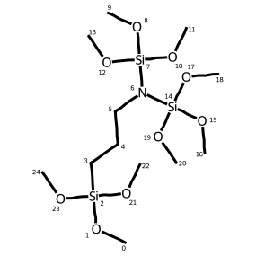 CO[Si](CCCN([Si](OC)(OC)OC)[Si](OC)(OC)OC)(OC)OC